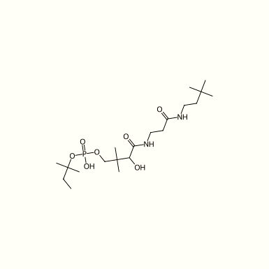 CCC(C)(C)OP(=O)(O)OCC(C)(C)C(O)C(=O)NCCC(=O)NCCC(C)(C)C